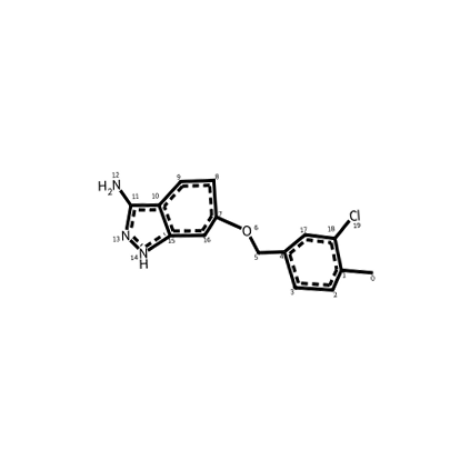 Cc1ccc(COc2ccc3c(N)n[nH]c3c2)cc1Cl